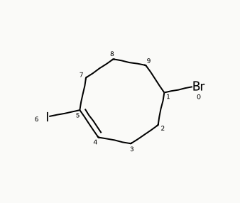 BrC1CCC=C(I)CCC1